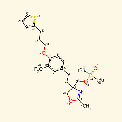 CC1=NC(CCc2ccc(OCCCc3cccs3)c(C(F)(F)F)c2)(COP(=O)(C(C)(C)C)C(C)(C)C)CO1